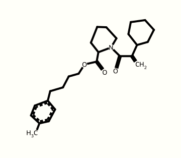 C=C(C(=O)N1CCCCC1C(=O)OCCCCc1ccc(C)cc1)C1CCCCC1